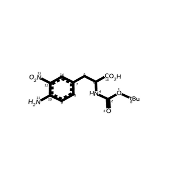 CC(C)(C)OC(=O)NC(Cc1ccc(N)c([N+](=O)[O-])c1)C(=O)O